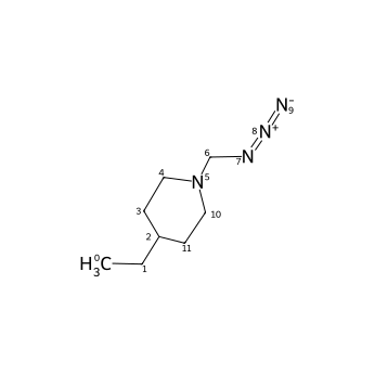 CCC1CCN(CN=[N+]=[N-])CC1